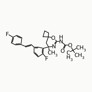 CC(C)(C)OC(=O)NC1=N[C@](C)(c2cc(/C=C/c3ccc(F)cc3)ccc2F)CC2(CCC2)O1